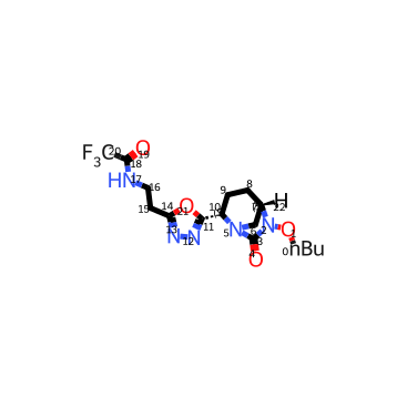 CCCCON1C(=O)N2C[C@@H]1CC[C@H]2c1nnc(CCNC(=O)C(F)(F)F)o1